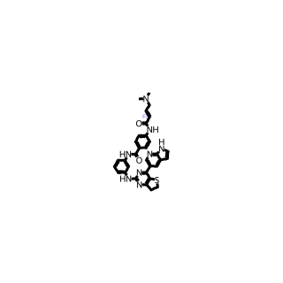 CN(C)C/C=C/C(=O)Nc1ccc(C(=O)Nc2cccc(Nc3nc4c(c(-c5cnc6[nH]ccc6c5)n3)SCC4)c2)cc1